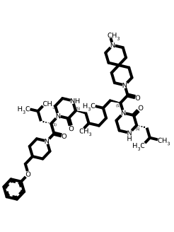 CC(C)C[C@@H]1NCCN([C@@H](CC(C)CCC(C)C[C@@H]2NCCN([C@@H](CC(C)C)C(=O)N3CCC(COc4ccccc4)CC3)C2=O)C(=O)N2CCC3(CCN(C)CC3)CC2)C1=O